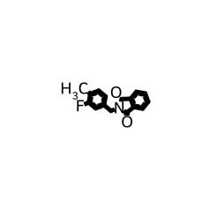 Cc1ccc(CN2C(=O)c3ccccc3C2=O)cc1F